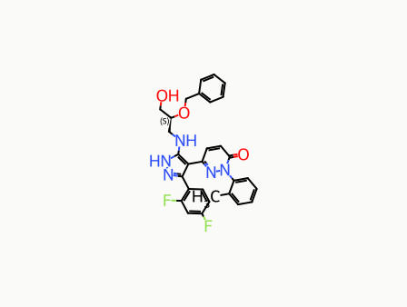 Cc1ccccc1-n1nc(-c2c(-c3ccc(F)cc3F)n[nH]c2NC[C@@H](CO)OCc2ccccc2)ccc1=O